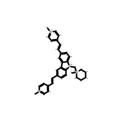 C[n+]1ccc(/C=C/c2ccc3c(c2)c2cc(/C=C/c4cc[n+](C)cc4)ccc2n3C[N+]2(C)CCCCC2)cc1